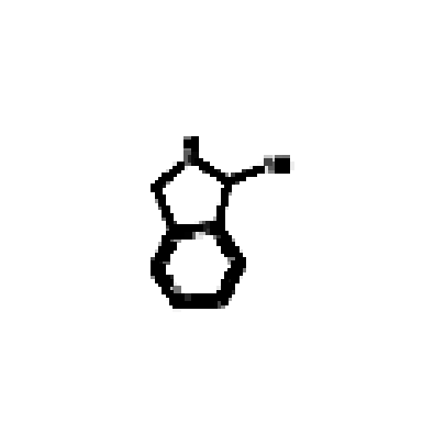 [NH]C1NCc2ccccc21